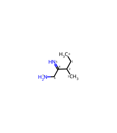 CCC(C)C(=N)CN